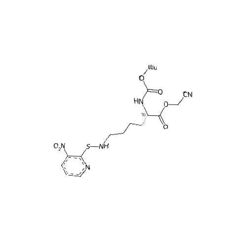 CC(C)(C)OC(=O)N[C@@H](CCCCNSc1ncccc1[N+](=O)[O-])C(=O)OCC#N